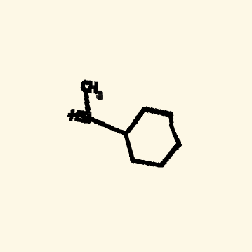 C[SiH]C1CCCCC1